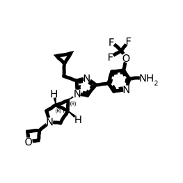 Nc1ncc(-c2cn([C@@H]3[C@@H]4CN(C5COC5)C[C@@H]43)c(CC3CC3)n2)cc1OC(F)(F)F